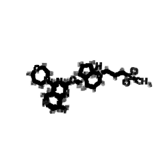 CS(=O)(=O)CCCN1CCC[C@@]2(COc3nc(N4CCCOCC4)c4cncc(F)c4n3)CCC[C@@H]12